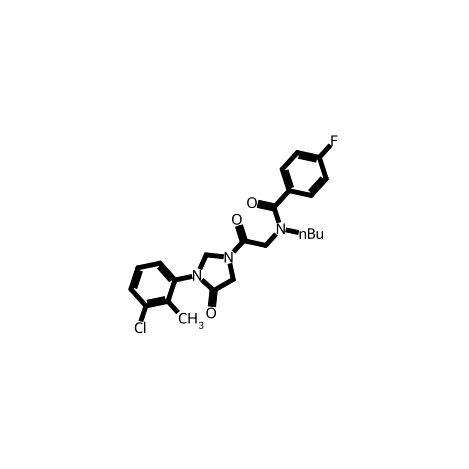 CCCCN(CC(=O)N1CC(=O)N(c2cccc(Cl)c2C)C1)C(=O)c1ccc(F)cc1